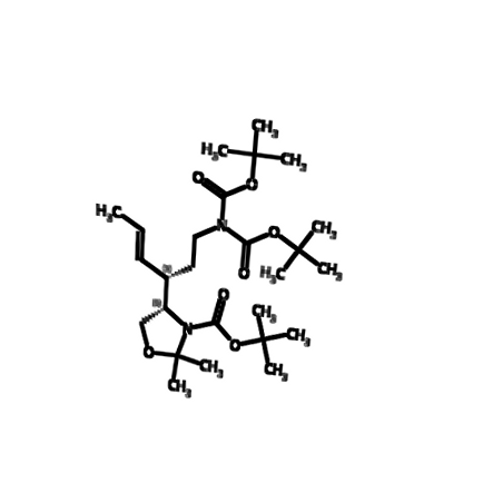 CC=C[C@H](CCN(C(=O)OC(C)(C)C)C(=O)OC(C)(C)C)[C@H]1COC(C)(C)N1C(=O)OC(C)(C)C